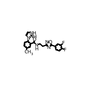 Cc1ccc(N2C=CNN2)c(C(=O)NCCc2noc(-c3ccc(F)c(F)c3)n2)c1